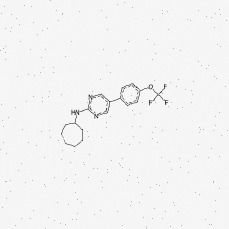 FC(F)(F)Oc1ccc(-c2cnc(NC3CCCCCC3)nc2)cc1